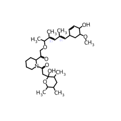 COC1CC(/C=C(C)/C=C(\C)C(C)OCC(=O)C2CCCCN2C(=O)CC2(O)OC(C)C(C)CC2C)C=CC1O